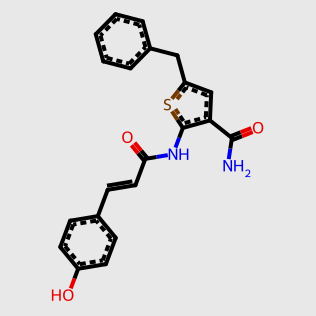 NC(=O)c1cc(Cc2ccccc2)sc1NC(=O)/C=C/c1ccc(O)cc1